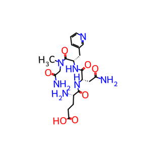 CN(CC(N)=O)C(=O)[C@H](Cc1cccnc1)NC(=O)[C@H](CC(N)=O)NC(=O)[C@@H](N)CCC(=O)O